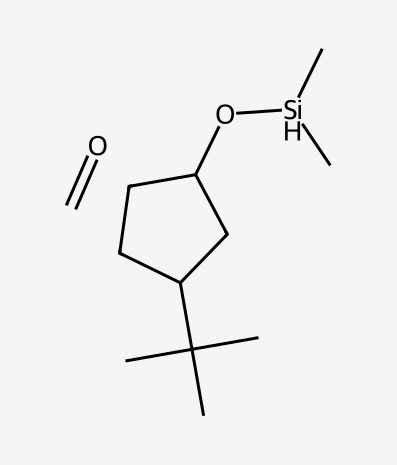 C=O.C[SiH](C)OC1CCC(C(C)(C)C)C1